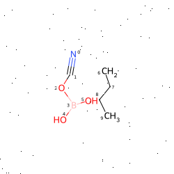 N#COB(O)O.[CH2]CCC